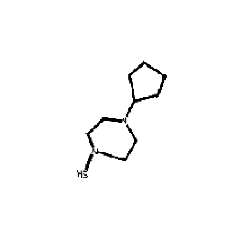 SN1CCN(C2CCCC2)CC1